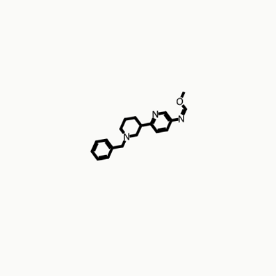 CO/C=N\c1ccc(C2CCCN(Cc3ccccc3)C2)nc1